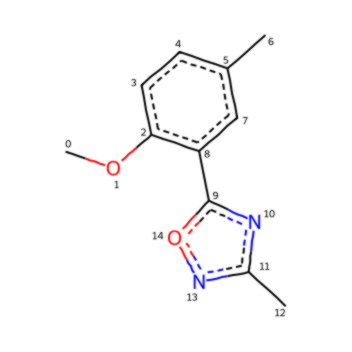 COc1ccc(C)cc1-c1nc(C)no1